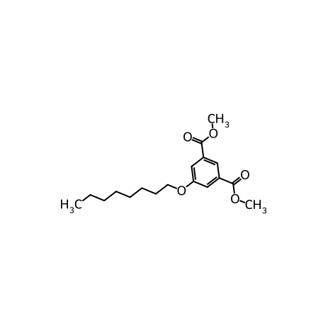 CCCCCCCCOc1cc(C(=O)OC)cc(C(=O)OC)c1